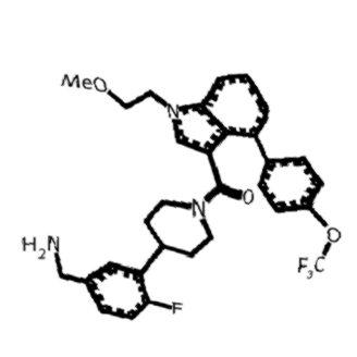 COCCn1cc(C(=O)N2CCC(c3cc(CN)ccc3F)CC2)c2c(-c3ccc(OC(F)(F)F)cc3)cccc21